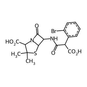 CC1(C)SC2C(NC(=O)C(C(=O)O)c3ccccc3Br)C(=O)N2C1C(=O)O